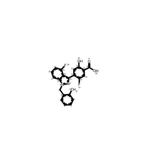 Cc1ccccc1Cn1nc(-c2cc(O)c(C(=O)O)cc2F)c2c(F)cccc21